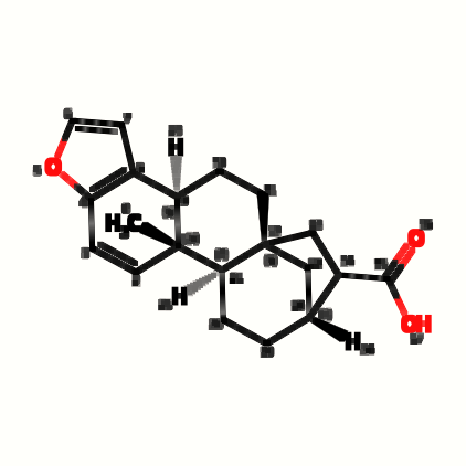 C[C@@]12C=Cc3occc3[C@H]1CC[C@]13CC(C(=O)O)[C@H](CC[C@H]12)C3